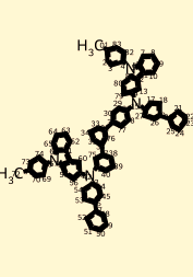 Cc1ccc(-n2c3ccccc3c3cc(N(c4ccc(-c5ccccc5)cc4)c4ccc(-c5cccc(-c6cccc(N(c7ccc(-c8ccccc8)cc7)c7ccc8c(c7)c7ccccc7n8-c7ccc(C)cc7)c6)c5)cc4)ccc32)cc1